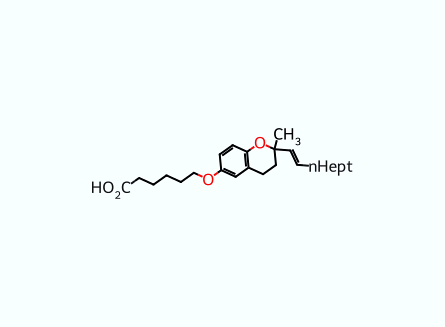 CCCCCCCC=CC1(C)CCc2cc(OCCCCCC(=O)O)ccc2O1